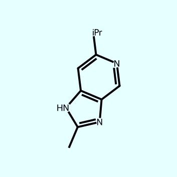 Cc1nc2cnc(C(C)C)cc2[nH]1